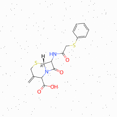 C=C1CS[C@@H]2C(NC(=O)CSc3ccccc3)C(=O)N2C1C(=O)O